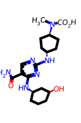 CN(C(=O)O)[C@H]1CC[C@H](Nc2ncc(C(N)=O)c(N[C@@H]3CCC[C@H](O)C3)n2)CC1